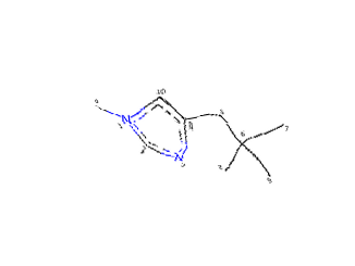 Cn1cnc(CC(C)(C)C)c1